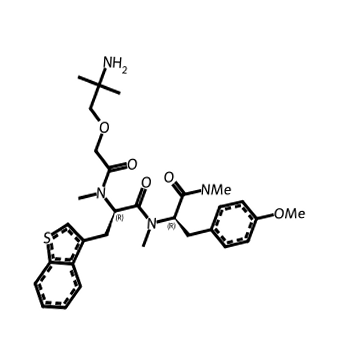 CNC(=O)[C@@H](Cc1ccc(OC)cc1)N(C)C(=O)[C@@H](Cc1csc2ccccc12)N(C)C(=O)COCC(C)(C)N